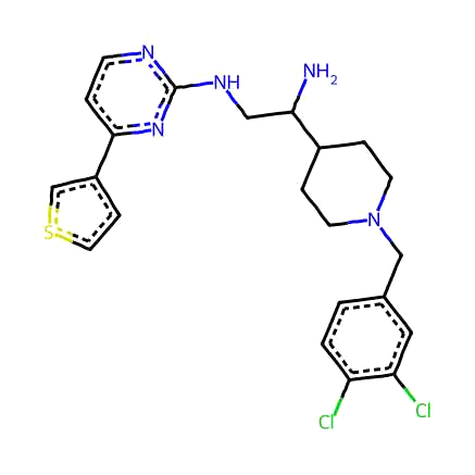 NC(CNc1nccc(-c2ccsc2)n1)C1CCN(Cc2ccc(Cl)c(Cl)c2)CC1